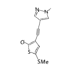 CSc1cc(C#Cc2cnn(C)c2)c(Cl)s1